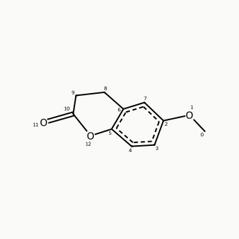 COc1ccc2c(c1)CCC(=O)O2